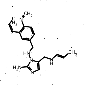 C=Nc1ccc(CNn2c(CN/C=C/C)cnc2N)cc1/C=C\C